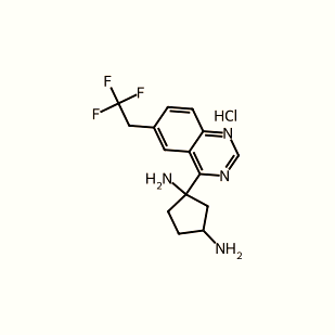 Cl.NC1CCC(N)(c2ncnc3ccc(CC(F)(F)F)cc23)C1